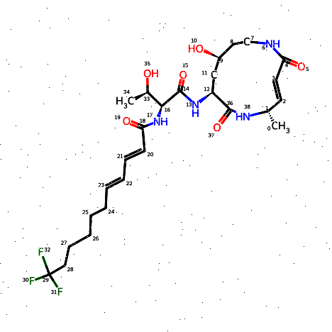 C[C@H]1/C=C/C(=O)NCC[C@H](O)C[C@H](NC(=O)[C@@H](NC(=O)/C=C/C=C/CCCCCC(F)(F)F)[C@@H](C)O)C(=O)N1